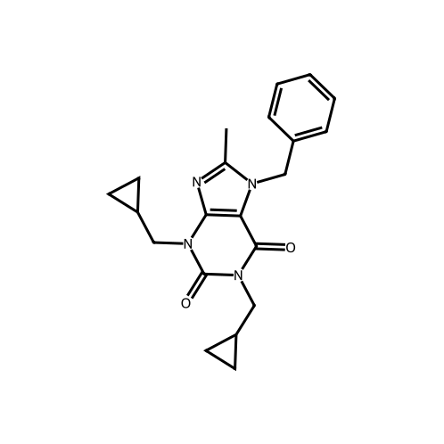 Cc1nc2c(c(=O)n(CC3CC3)c(=O)n2CC2CC2)n1Cc1ccccc1